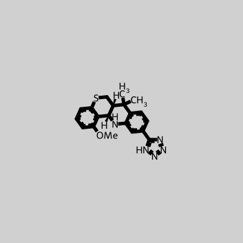 COc1cccc2c1[C@H]1Nc3cc(-c4nnn[nH]4)ccc3C(C)(C)[C@H]1CS2